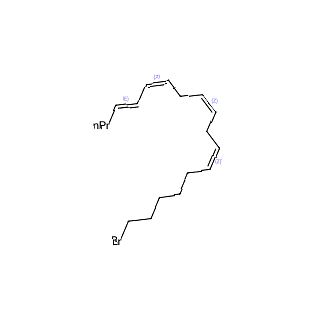 CCC/C=C/C=C\C/C=C\C/C=C\CCCCCBr